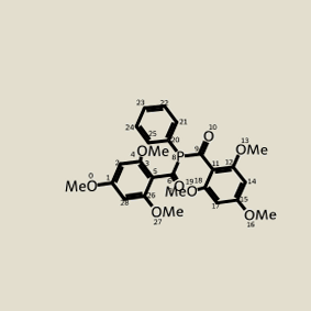 COc1cc(OC)c(C(=O)P(C(=O)c2c(OC)cc(OC)cc2OC)c2ccccc2)c(OC)c1